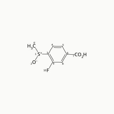 C[S+]([O-])c1ccc(C(=O)O)cc1F